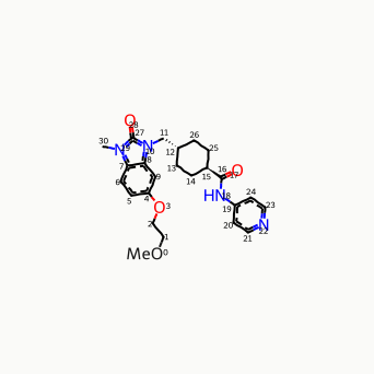 COCCOc1ccc2c(c1)n(C[C@H]1CC[C@H](C(=O)Nc3ccncc3)CC1)c(=O)n2C